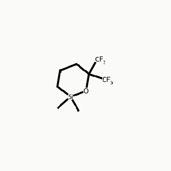 C[Si]1(C)CCCC(C(F)(F)F)(C(F)(F)F)O1